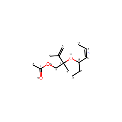 C=C(C)C(C)(COC(C)=O)OC(/C=C\C)CC